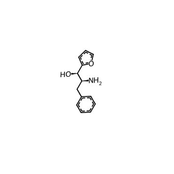 N[C@@H](Cc1ccccc1)[C@@H](O)c1ccco1